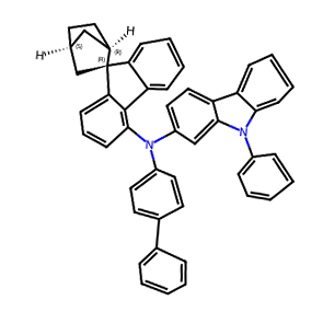 c1ccc(-c2ccc(N(c3ccc4c5ccccc5n(-c5ccccc5)c4c3)c3cccc4c3-c3ccccc3[C@]43C[C@H]4CC[C@@H]3C4)cc2)cc1